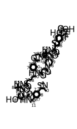 Cc1ncsc1-c1ccc([C@H](C)NC(=O)[C@@H]2C[C@@H](O)CN2C(=O)[C@@H](NC(=O)CCCCNC(=O)CC(=O)N2CCN(C(=O)[C@@H](NC(=O)c3cc4cc(C(F)(F)P(=O)(O)O)ccc4s3)C(C)(C)C)[C@H](C(=O)N3CCO[C@H](c4ccccc4)C3)C2)C(C)(C)C)cc1